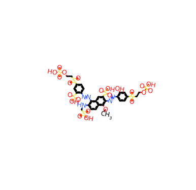 COc1c(/N=N/c2ccc(S(=O)(=O)CCOS(=O)(=O)O)cc2O)c(S(=O)(=O)O)cc2c(/N=N/c3ccc(S(=O)(=O)CCOS(=O)(=O)O)cc3S(=O)(=O)O)c(NCS(=O)(=O)O)ccc12